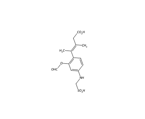 C/C(CC(=O)O)=C(/C)c1ccc(NCS(=O)(=O)O)cc1OC=O